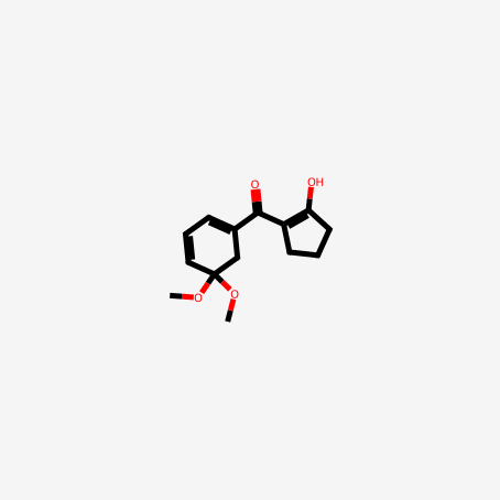 COC1(OC)C=CC=C(C(=O)C2=C(O)CCC2)C1